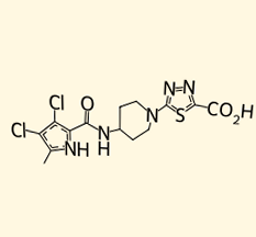 Cc1[nH]c(C(=O)NC2CCN(c3nnc(C(=O)O)s3)CC2)c(Cl)c1Cl